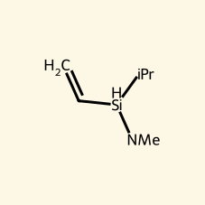 C=C[SiH](NC)C(C)C